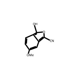 COc1ccc2c(O)oc(C#N)c2c1